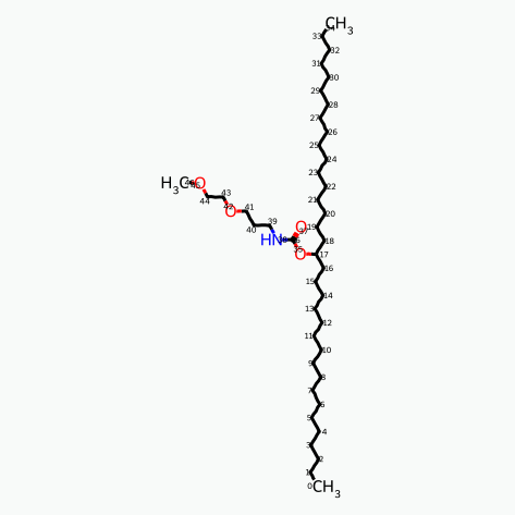 CCCCCCCCCCCCCCCCCC(CCCCCCCCCCCCCCCCC)OC(=O)NCCCOCCOC